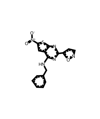 O=[N+]([O-])c1cc2c(NCc3ccccc3)nc(-c3ccno3)nc2s1